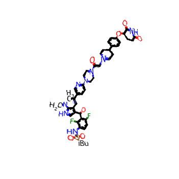 C=Nc1[nH]cc(C(=O)c2c(F)ccc(NS(=O)(=O)C(C)CC)c2F)c1/C=C(\C)c1ccc(N2CCN(C(=O)CN3CCC(c4ccc(OC5CCC(=O)NC5=O)cc4)CC3)CC2)nc1